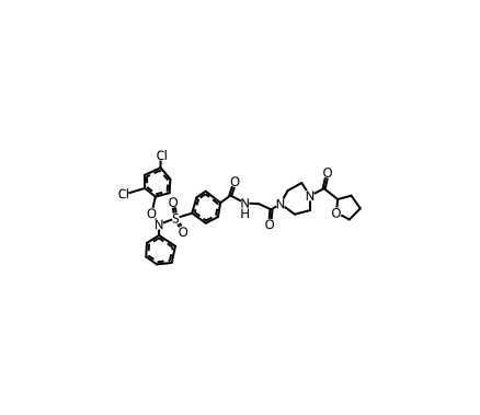 O=C(NCC(=O)N1CCN(C(=O)C2CCCO2)CC1)c1ccc(S(=O)(=O)N(Oc2ccc(Cl)cc2Cl)c2ccccc2)cc1